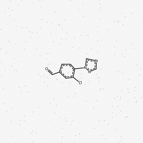 O=Cc1ccc(-n2cncn2)c(Cl)c1